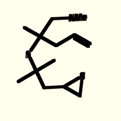 C=CCC(C)(CNC)SC(C)(C)CC1CS1